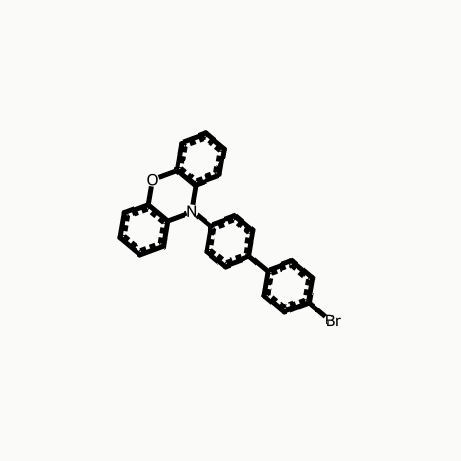 Brc1ccc(-c2ccc(N3c4ccccc4Oc4ccccc43)cc2)cc1